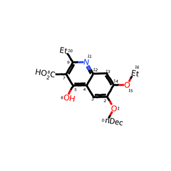 CCCCCCCCCCOc1cc2c(O)c(C(=O)O)c(CC)nc2cc1OCC